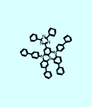 c1ccc(-c2ccc(N3c4ccc(-c5ccccc5)cc4B4c5cc(-c6ccccc6)ccc5N(c5ccc(-c6ccccc6)cc5)c5cc(-c6nc(-c7ccccc7)nc(-c7ccccc7)n6)cc3c54)cc2)cc1